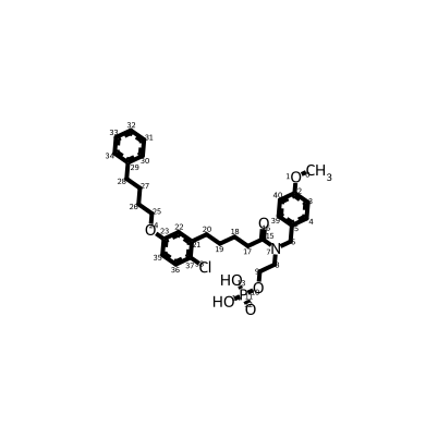 COc1ccc(CN(CCOP(=O)(O)O)C(=O)CCCCc2cc(OCCCCc3ccccc3)ccc2Cl)cc1